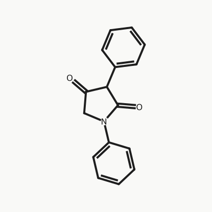 O=C1CN(c2ccccc2)C(=O)C1c1ccccc1